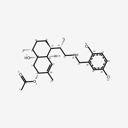 CC(=O)O[C@@H]1[C][C@@]2(O)[C@H](C)CC[C@@H]([C@H](C)CNCc3cc(Cl)ccc3Cl)[C@H]2C=C1C